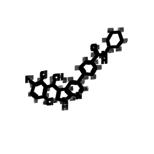 CC(c1c(Cl)ccc(F)c1Cl)c1c[nH]c2ncc(-c3ccc(C(=O)NC4CCCCC4)cc3)cc12